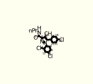 CCCNC(=O)c1nn(-c2ccc(Cl)cc2Cl)c(-c2ccc(Cl)cc2)c1C